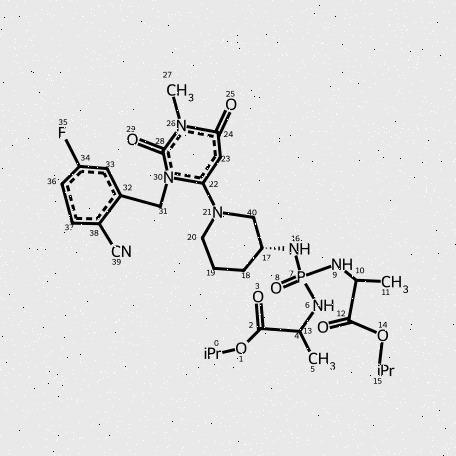 CC(C)OC(=O)C(C)NP(=O)(NC(C)C(=O)OC(C)C)N[C@@H]1CCCN(c2cc(=O)n(C)c(=O)n2Cc2cc(F)ccc2C#N)C1